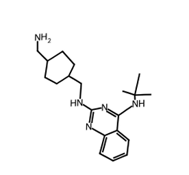 CC(C)(C)Nc1nc(NCC2CCC(CN)CC2)nc2ccccc12